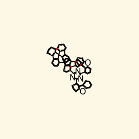 c1ccc(-c2ccccc2-c2nc(-c3cccc4oc5ccccc5c34)nc(-c3cccc4oc5ccc(-c6ccc(-c7cccc8c7C7(c9ccccc9-c9ccccc97)c7ccccc7-8)cc6)cc5c34)n2)cc1